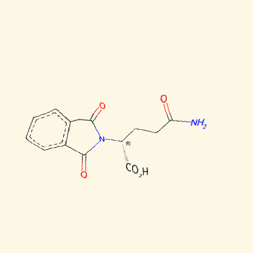 NC(=O)CC[C@H](C(=O)O)N1C(=O)c2ccccc2C1=O